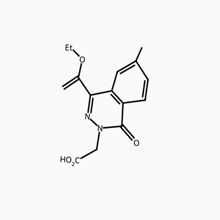 C=C(OCC)c1nn(CC(=O)O)c(=O)c2ccc(C)cc12